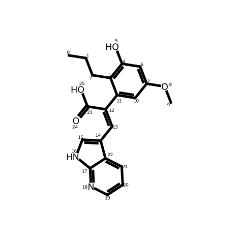 CCCc1c(O)cc(OC)cc1/C(=C/c1c[nH]c2ncccc12)C(=O)O